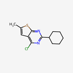 Cc1cc2c(Cl)nc(C3CCCCC3)nc2s1